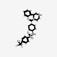 O=C([C@H]1CC[C@H](NS(=O)(=O)c2ccc(C(F)(F)F)cc2)CC1)N1CCNCC1c1ccccc1